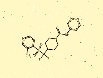 Cc1cnccc1S(=O)(=O)C(F)(F)C1CCN(C(=O)Nc2ccnnc2)CC1